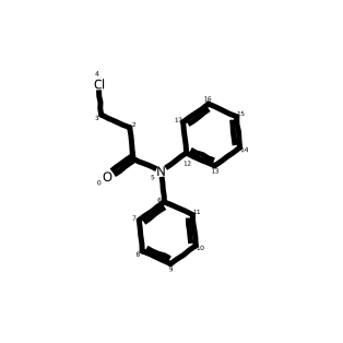 O=C(CCCl)N(c1ccccc1)c1ccccc1